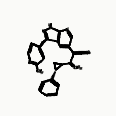 C=C(C(=O)c1cnc2[nH]nc(-c3ccnc(C)c3)c2c1)C1C[C@H]1c1ccccc1